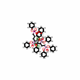 O=P(CCC[CH](P(=O)(Oc1ccccc1)Oc1ccccc1)[Ni]([Cl])([Cl])[Ni]([Cl])([Cl])[CH](CCP(=O)(Oc1ccccc1)Oc1ccccc1)P(=O)(Oc1ccccc1)Oc1ccccc1)(Oc1ccccc1)Oc1ccccc1